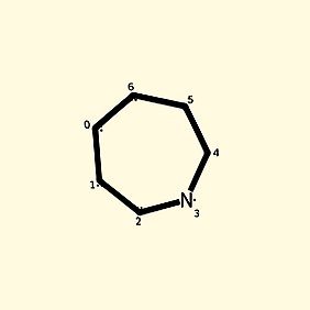 [C]1[C][C][N]CC[C]1